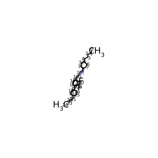 CCCCCC1CCC(/C=C/CCc2ccc(C3=CCC(CCCC)CC3)c(F)c2F)CC1